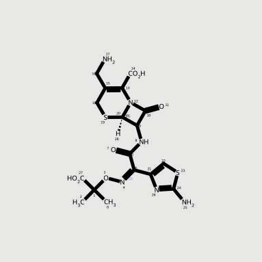 CC(C)(O/N=C(\C(=O)NC1C(=O)N2C(C(=O)O)=C(CN)CS[C@H]12)c1csc(N)n1)C(=O)O